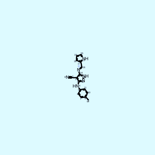 N#Cc1c(Nc2ccc(I)cc2)n[nH]c1/N=C/c1ccc[nH]1